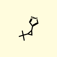 CC(C)(C)C1CC1c1cnsc1